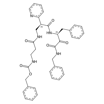 O=C(CCNC(=O)OCc1ccccc1)NC[C@H](C(=O)N[C@@H](Cc1ccccc1)C(=O)C(=O)NCc1ccccc1)c1ccccn1